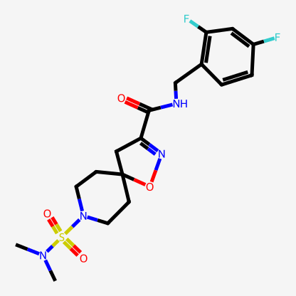 CN(C)S(=O)(=O)N1CCC2(CC1)CC(C(=O)NCc1ccc(F)cc1F)=NO2